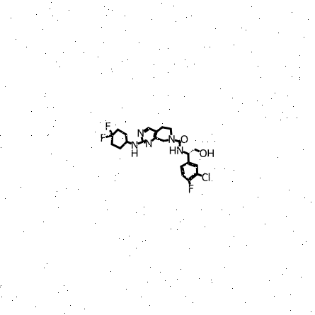 O=C(N[C@H](CO)c1ccc(F)c(Cl)c1)N1CCc2cnc(NC3CCC(F)(F)CC3)nc2C1